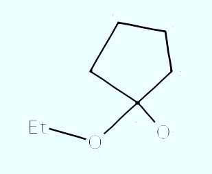 CCOC1([O])CCCC1